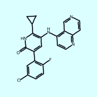 O=c1[nH]c(C2CC2)c(Nc2ccnc3ccncc23)cc1-c1cc(Cl)ccc1F